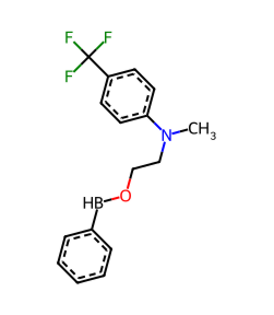 CN(CCOBc1ccccc1)c1ccc(C(F)(F)F)cc1